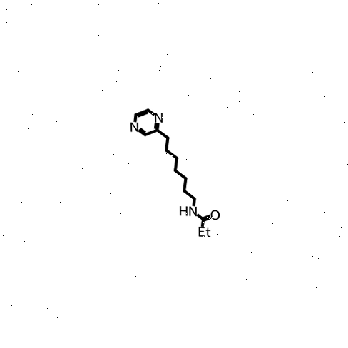 CCC(=O)NCCCCCCCc1cnccn1